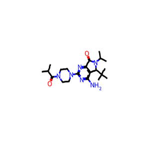 CC(C)C(=O)N1CCN(c2nc(N)c3c(n2)C(=O)N(C(C)C)C3C(C)(C)C)CC1